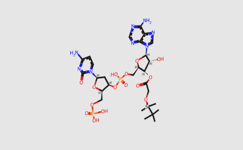 CC(C)(C)[Si](C)(C)OCC(=O)O[C@H]1[C@@H](O)[C@H](n2cnc3c(N)ncnc32)O[C@@H]1COP(=O)(O)O[C@@H]1C[C@H](n2ccc(N)nc2=O)O[C@@H]1COP(=O)(O)O